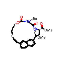 COC(=O)[C@@H]1C[C@]2(OC)CN1C(=O)[C@H](C(C)(C)C)NC(=O)OCCCCC=Cc1ccc3ccc2cc3c1